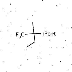 CCCCC[C@@](C)(CI)C(F)(F)F